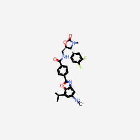 [C-]#[N+]c1cc(C(C)C)c2oc(-c3ccc(C(=O)NC[C@H]4OC(=O)N(C)[C@@H]4c4ccc(F)c(F)c4)cc3)nc2c1